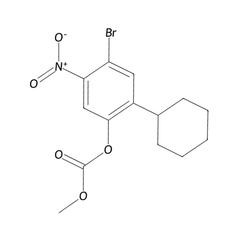 COC(=O)Oc1cc([N+](=O)[O-])c(Br)cc1C1CCCCC1